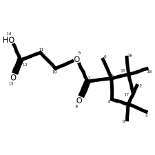 CC(C)(C)CC(C)(C(=O)OCCC(=O)O)C(C)(C)C